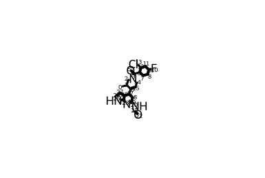 CC1CN(C(=O)c2ccc(F)cc2Cl)CC=C1c1cc(NC=O)nc2[nH]ccc12